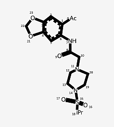 CC(=O)c1cc2c(cc1NC(=O)CN1CCN(S(=O)(=O)C(C)C)CC1)OCO2